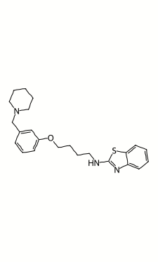 c1cc(CN2CCCCC2)cc(OCCCCNc2nc3ccccc3s2)c1